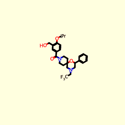 CC(C)Oc1ccc(C(=O)N2CCC3(CC2)CN(CC(F)(F)F)CC(c2ccccc2)O3)cc1CO